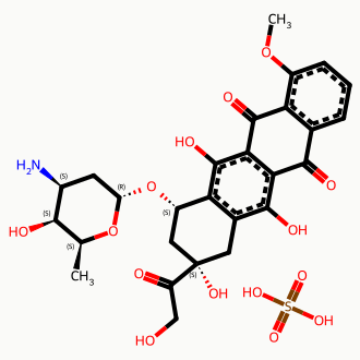 COc1cccc2c1C(=O)c1c(O)c3c(c(O)c1C2=O)C[C@@](O)(C(=O)CO)C[C@@H]3O[C@H]1C[C@H](N)[C@H](O)[C@H](C)O1.O=S(=O)(O)O